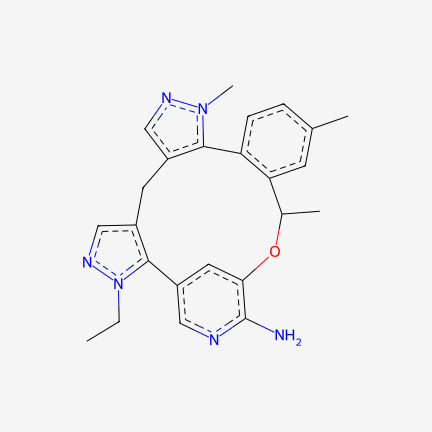 CCn1ncc2c1-c1cnc(N)c(c1)OC(C)c1cc(C)ccc1-c1c(cnn1C)C2